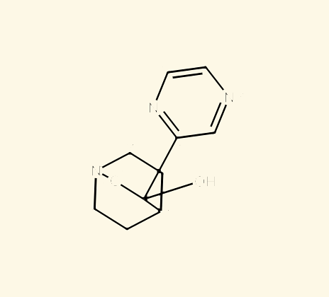 OC1(c2cnccn2)CN2CCC1CC2